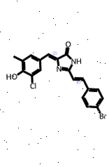 Cc1cc(/C=C2N=C(/C=C/c3ccc(Br)cc3)NC\2=O)cc(Cl)c1O